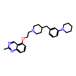 Cc1ncc2c(OCCN3CCC(Cc4cccc(N5CCCCC5)c4)CC3)cccc2n1